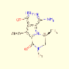 COc1c2n(c3c(N)n[nH]c(=O)c13)[C@@H](C)CN(C(C)C)C2=O